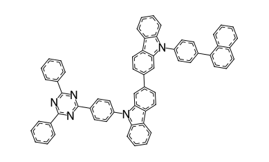 c1ccc(-c2nc(-c3ccccc3)nc(-c3ccc(-n4c5ccccc5c5ccc(-c6ccc7c8ccccc8n(-c8ccc(-c9cccc%10ccccc9%10)cc8)c7c6)cc54)cc3)n2)cc1